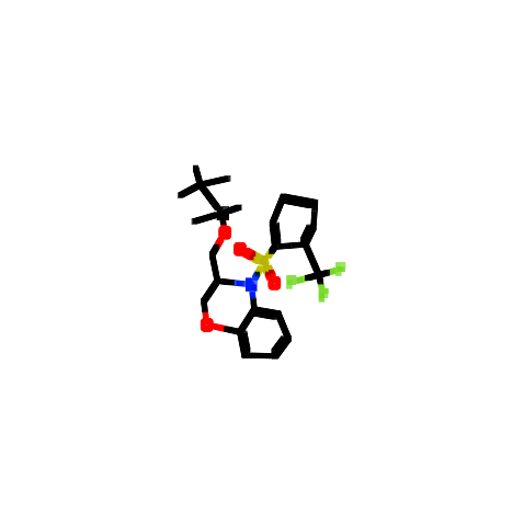 CC(C)(C)[Si](C)(C)OCC1COc2ccccc2N1S(=O)(=O)c1ccccc1C(F)(F)F